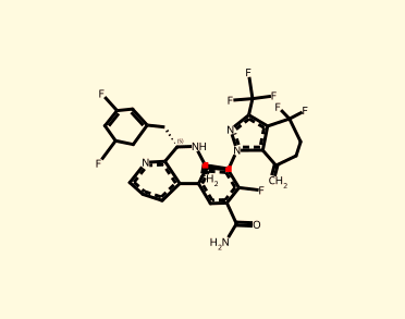 C=C(Cn1nc(C(F)(F)F)c2c1C(=C)CCC2(F)F)N[C@@H](CC1=CC(F)=CC(F)C1)c1ncccc1-c1ccc(F)c(C(N)=O)c1